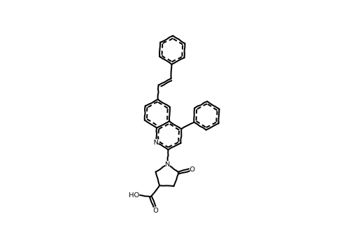 O=C(O)C1CC(=O)N(c2cc(-c3ccccc3)c3cc(C=Cc4ccccc4)ccc3n2)C1